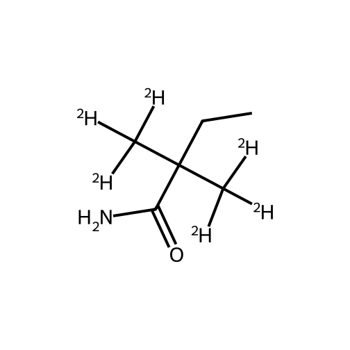 [2H]C([2H])([2H])C(CC)(C(N)=O)C([2H])([2H])[2H]